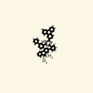 CC1(C)c2ccccc2-c2ccc(-c3ccccc3C3=NC(c4ccc5c6ccccc6c6ccccc6c5c4)NC(c4cccc(-c5ccccc5)c4)=N3)cc21